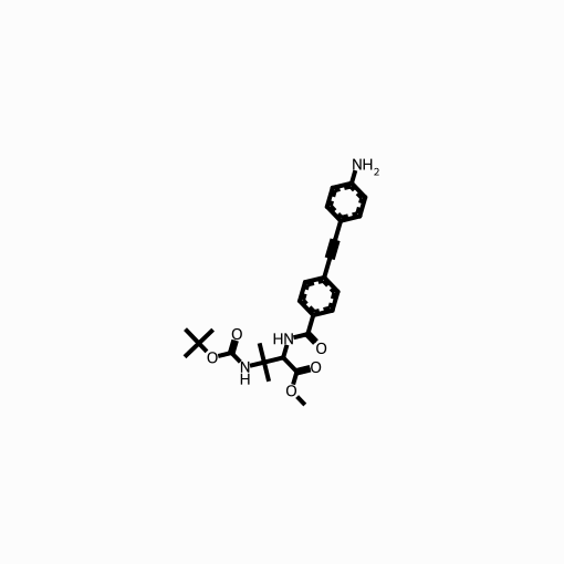 COC(=O)C(NC(=O)c1ccc(C#Cc2ccc(N)cc2)cc1)C(C)(C)NC(=O)OC(C)(C)C